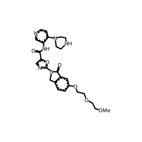 COCCOCCOc1ccc2c(c1)C(=O)N(c1ncc(C(=O)Nc3cnccc3N3CCNCC3)o1)C2